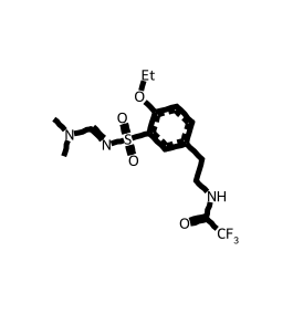 CCOc1ccc(CCNC(=O)C(F)(F)F)cc1S(=O)(=O)N=CN(C)C